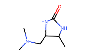 CC1NC(=O)NC1CN(C)C